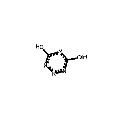 Oc1nnnc(O)n1